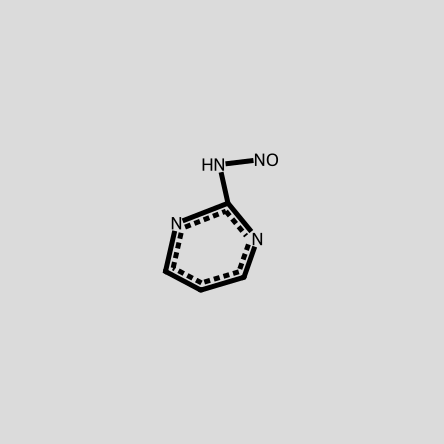 O=NNc1ncccn1